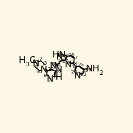 CN1CCN(c2cncc3[nH]c(-c4n[nH]c5ccc(-c6cncc(N)c6)nc45)nc23)CC1